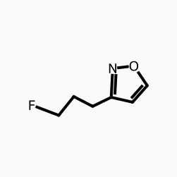 FCCCc1ccon1